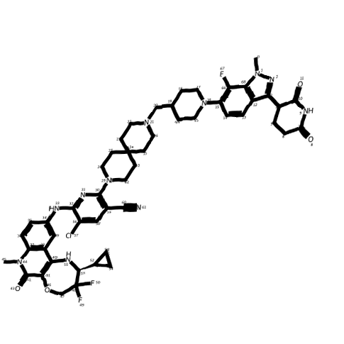 Cn1nc(C2CCC(=O)NC2=O)c2ccc(N3CCC(CN4CCC5(CC4)CCN(c4nc(Nc6ccc7c(c6)c6c(c(=O)n7C)OCC(F)(F)[C@H](C7CC7)N6)c(Cl)cc4C#N)CC5)CC3)c(F)c21